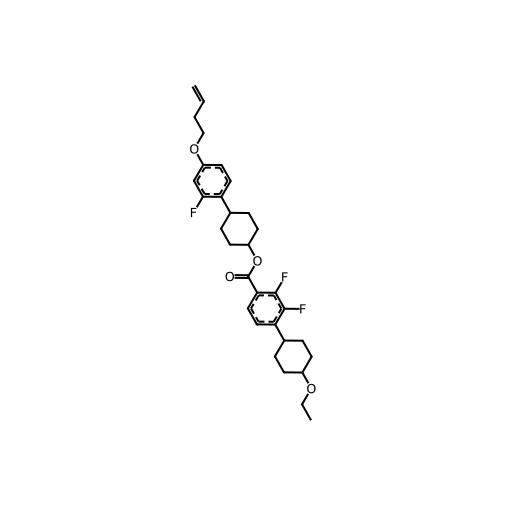 C=CCCOc1ccc(C2CCC(OC(=O)c3ccc(C4CCC(OCC)CC4)c(F)c3F)CC2)c(F)c1